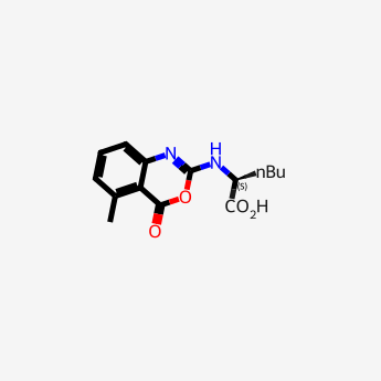 CCCC[C@H](Nc1nc2cccc(C)c2c(=O)o1)C(=O)O